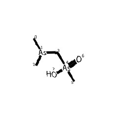 C[As](C)C[As](C)(=O)O